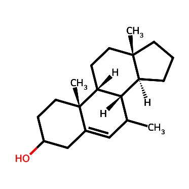 CC1C=C2CC(O)CC[C@]2(C)[C@@H]2CC[C@]3(C)CCC[C@H]3[C@H]12